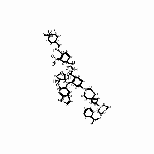 CC(C)c1ccccc1[C@H]1COCCN1C1CC2(CCN(c3ccc(C(=O)NS(=O)(=O)c4ccc(NCC5CCC(C)(O)CC5)c([N+](=O)[O-])c4)c(N4c5cc6cc[nH]c6nc5O[C@@H]5COC[C@H]54)c3)CC2)C1